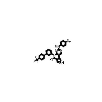 COc1ccc(Nc2ncc3c4n[nH]cc4c(=O)n(-c4cccc(-c5ccc(C(F)(F)F)cc5)c4)c3n2)cc1